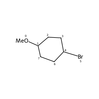 COC1CCC(Br)CC1